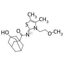 COCCn1c(C)c(C)s/c1=N\C(=O)C12CC3CC(CC(O)(C3)C1)C2